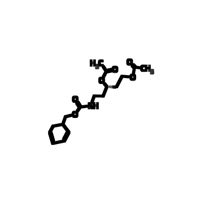 CC(=O)OCC[C@H](CCNC(=O)OCC1C=CC=CC1)OC(C)=O